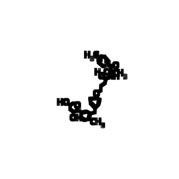 Cc1ccc([C@@H]2OCC(O)CC2O)cc1Cc1ccc(OCCCC(=O)NC(C)(C)C(=O)N2CCN(C)CC2)cc1